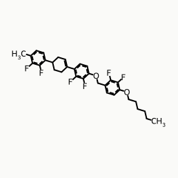 CCCCCCOc1ccc(COc2ccc(C3=CCC(c4ccc(C)c(F)c4F)CC3)c(F)c2F)c(F)c1F